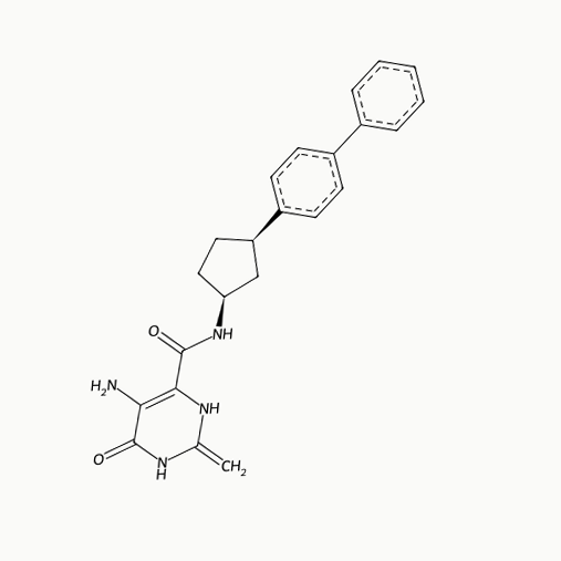 C=C1NC(=O)C(N)=C(C(=O)N[C@H]2CC[C@@H](c3ccc(-c4ccccc4)cc3)C2)N1